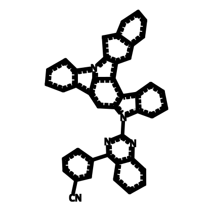 N#Cc1cccc(-c2nc(-n3c4ccccc4c4c5c6cc7ccccc7cc6n6c7ccccc7c(cc43)c56)nc3ccccc23)c1